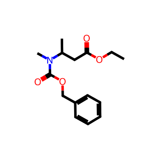 CCOC(=O)CC(C)N(C)C(=O)OCc1ccccc1